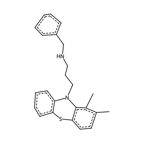 Cc1ccc2c(c1C)N(CCCNCc1ccccc1)c1ccccc1S2